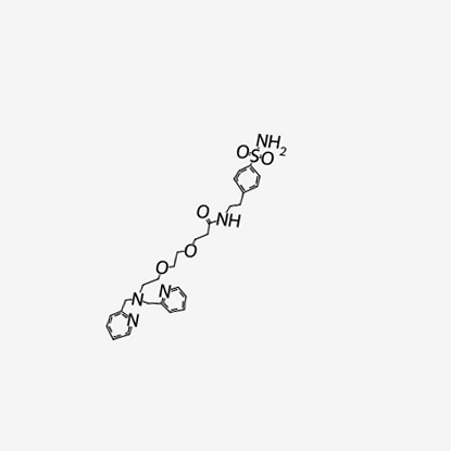 NS(=O)(=O)c1ccc(CCNC(=O)CCOCCOCCN(Cc2ccccn2)Cc2ccccn2)cc1